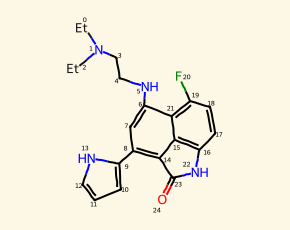 CCN(CC)CCNc1cc(-c2ccc[nH]2)c2c3c(ccc(F)c13)NC2=O